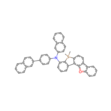 CS1(C)c2ccc3c(oc4ccccc43)c2-c2cccc(N(c3ccc(-c4ccc5ccccc5c4)cc3)c3ccc4ccccc4c3)c21